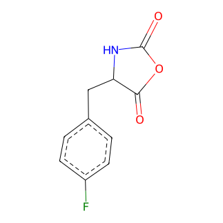 O=C1NC(Cc2ccc(F)cc2)C(=O)O1